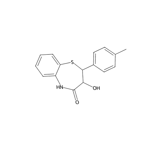 Cc1ccc(C2Sc3ccccc3NC(=O)C2O)cc1